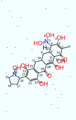 CC1=C(O)C(N(O)O)[C@@H]2CC3Cc4c(O)c(C5CCCN5O)cc(O)c4C(=O)C3=C(O)[C@]2(O)C1=O